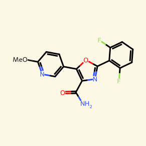 COc1ccc(-c2oc(-c3c(F)cccc3F)nc2C(N)=O)cn1